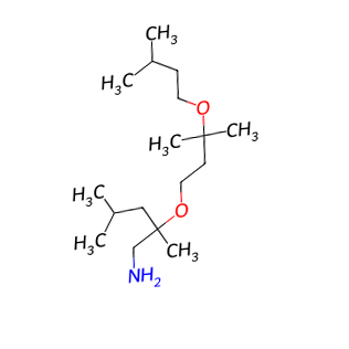 CC(C)CCOC(C)(C)CCOC(C)(CN)CC(C)C